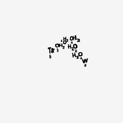 O.O.O.O.O.[Ta].[W]